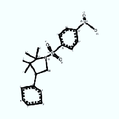 CC1(C)C(c2ccccc2)CN(S(=O)(=O)c2ccc([N+](=O)[O-])cc2)C1(C)C